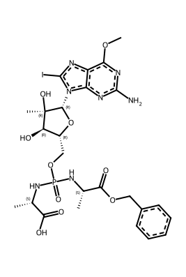 COc1nc(N)nc2c1nc(I)n2[C@@H]1O[C@H](COP(=O)(N[C@@H](C)C(=O)O)N[C@@H](C)C(=O)OCc2ccccc2)[C@@H](O)[C@@]1(C)O